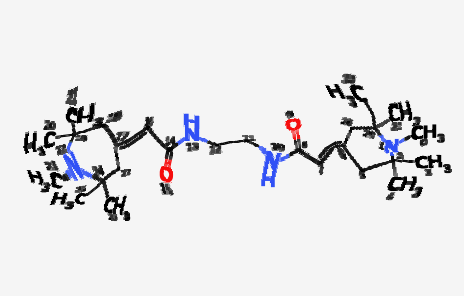 CN1C(C)(C)CC(=CC(=O)NCCNC(=O)C=C2CC(C)(C)N(C)C(C)(C)C2)CC1(C)C